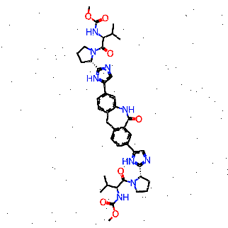 COC(=O)N[C@H](C(=O)N1CCC[C@H]1c1ncc(-c2ccc3c(c2)NC(=O)c2cc(-c4cnc([C@@H]5CCCN5C(=O)[C@@H](NC(=O)OC)C(C)C)[nH]4)ccc2C3)[nH]1)C(C)C